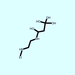 CCNCCNC(O)CC(O)(O)O